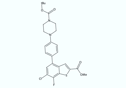 COC(=O)c1cc2c(-c3ccc(N4CCN(C(=O)OC(C)(C)C)CC4)cc3)cc(Cl)c(F)c2s1